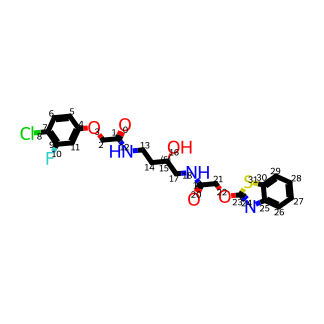 O=C(COc1ccc(Cl)c(F)c1)NCC[C@H](O)CNC(=O)COc1nc2ccccc2s1